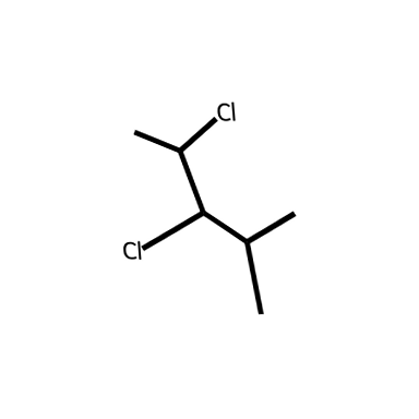 CC(C)C(Cl)C(C)Cl